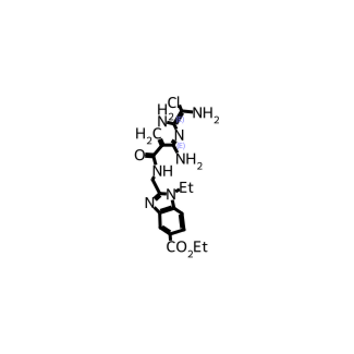 C=C(C(=O)NCc1nc2cc(C(=O)OCC)ccc2n1CC)/C(N)=N\C(N)=C(/N)Cl